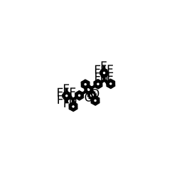 Fc1c(F)c(F)c(N(c2ccccc2)c2ccc(-c3c4c(c(-c5ccc(N(c6ccccc6)c6c(F)c(F)c(F)c(F)c6F)cc5)c5ccccc35)Oc3ccccc3O4)cc2)c(F)c1F